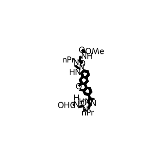 CCCN(Cc1ncc(-c2ccc3c(c2)COc2cc4c(ccc5nc(CN(CCC)C(=O)CNC(=O)OC)[nH]c54)cc2-3)[nH]1)C(=O)CNC=O